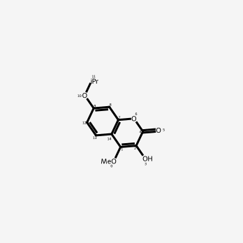 COc1c(O)c(=O)oc2cc(OC(C)C)ccc12